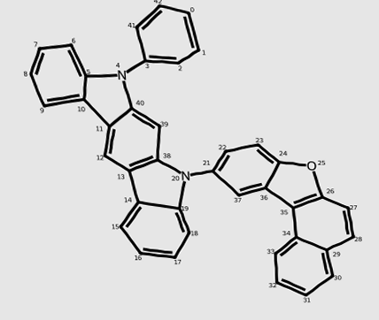 c1ccc(-n2c3ccccc3c3cc4c5ccccc5n(-c5ccc6oc7ccc8ccccc8c7c6c5)c4cc32)cc1